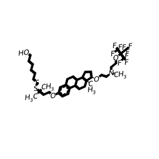 CN(CCO[C@H]1CCC2C3CCc4cc(OCCC(C)(C)SSCCCCCCO)ccc4C3CC[C@@]21C)CCOC(C(F)(F)F)(C(F)(F)F)C(F)(F)F